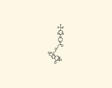 O=C(CCOCCn1c(CO)cc2c(=O)[nH]ncc21)N1CCN(c2ncc(C(F)(F)F)cn2)CC1